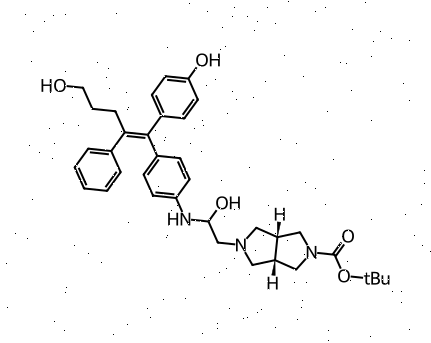 CC(C)(C)OC(=O)N1C[C@H]2CN(CC(O)Nc3ccc(/C(=C(/CCCO)c4ccccc4)c4ccc(O)cc4)cc3)C[C@H]2C1